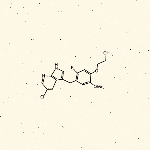 COc1cc(Cc2c[nH]c3ncc(Cl)cc23)c(F)cc1OCCO